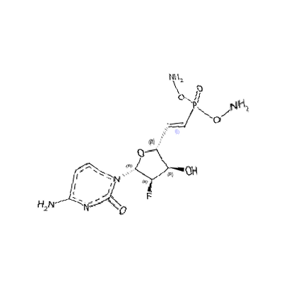 NOP(=O)(/C=C/[C@H]1O[C@@H](n2ccc(N)nc2=O)[C@H](F)[C@@H]1O)ON